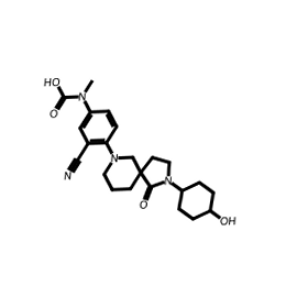 CN(C(=O)O)c1ccc(N2CCCC3(CCN(C4CCC(O)CC4)C3=O)C2)c(C#N)c1